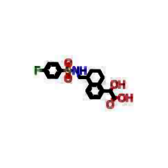 O=C(O)C(O)c1cccc2c1CCCC2CNS(=O)(=O)c1ccc(F)cc1